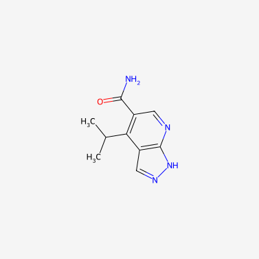 CC(C)c1c(C(N)=O)cnc2[nH]ncc12